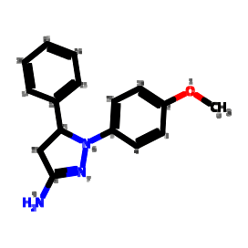 COc1ccc(N2N=C(N)CC2c2ccccc2)cc1